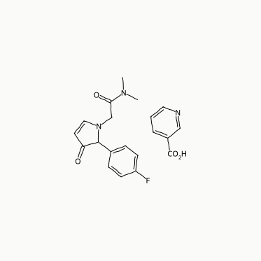 CN(C)C(=O)CN1C=CC(=O)C1c1ccc(F)cc1.O=C(O)c1cccnc1